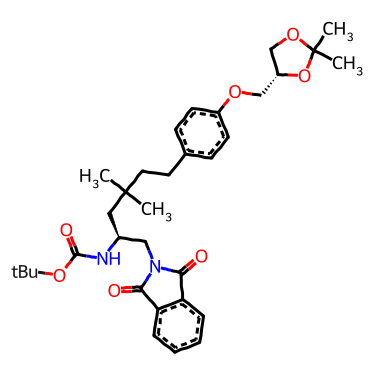 CC(C)(CCc1ccc(OC[C@@H]2COC(C)(C)O2)cc1)C[C@@H](CN1C(=O)c2ccccc2C1=O)NC(=O)OC(C)(C)C